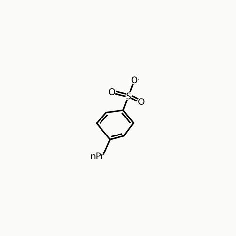 CCCc1ccc(S([O])(=O)=O)cc1